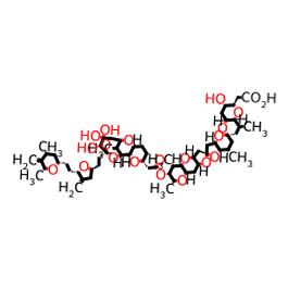 C=C1C[C@H](CC[C@]23OC(C4O[C@H]5CC[C@H](CC(=O)O[C@@H]6[C@@H](C)[C@@H]7O[C@@H]8C[C@]9(C[C@@H]%10O[C@]%11(CC(C)[C@@H]%12O[C@H](CC(=O)O)[C@H](O)C[C@@H]%12O%11)CC(C)[C@@H]%10O9)O[C@@H]8C[C@@H]7O[C@H]6C)O[C@@H]5[C@H](O2)C4C)C(O)(O)[C@H]3O)O[C@H]1CC[C@H]1C[C@@H](C)C(=C)[C@@H](C)O1